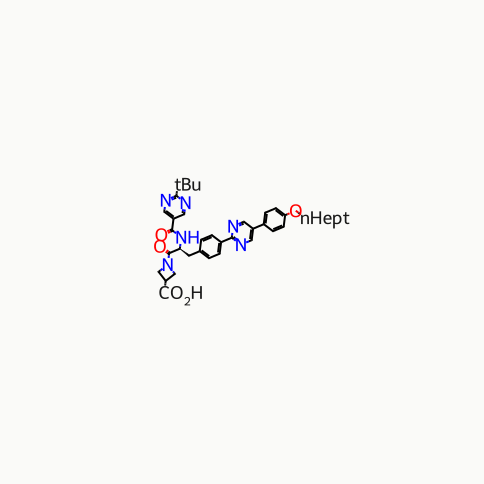 CCCCCCCOc1ccc(-c2cnc(-c3ccc(C[C@H](NC(=O)c4cnc(C(C)(C)C)nc4)C(=O)N4CC(C(=O)O)C4)cc3)nc2)cc1